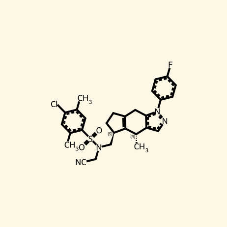 Cc1cc(S(=O)(=O)N(CC#N)C[C@H]2CCC3=C2[C@@H](C)c2cnn(-c4ccc(F)cc4)c2C3)c(C)cc1Cl